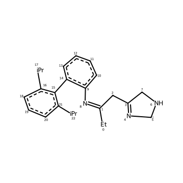 CCC(CC1=N[C]NC1)=Nc1ccccc1-c1c(C(C)C)cccc1C(C)C